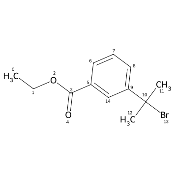 CCOC(=O)c1cccc(C(C)(C)Br)c1